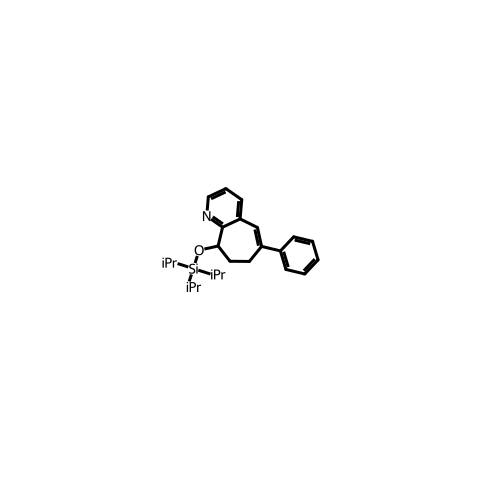 CC(C)[Si](OC1CCC(c2ccccc2)=Cc2cccnc21)(C(C)C)C(C)C